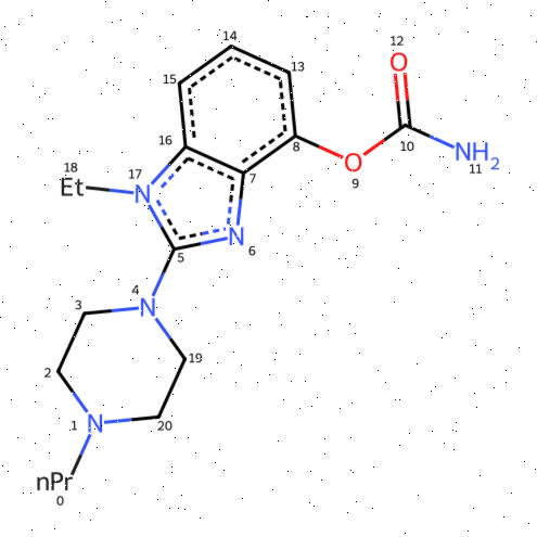 CCCN1CCN(c2nc3c(OC(N)=O)cccc3n2CC)CC1